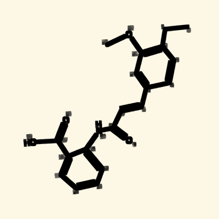 CCc1ccc(C=CC(=O)Nc2ccccc2C(=O)O)cc1OC